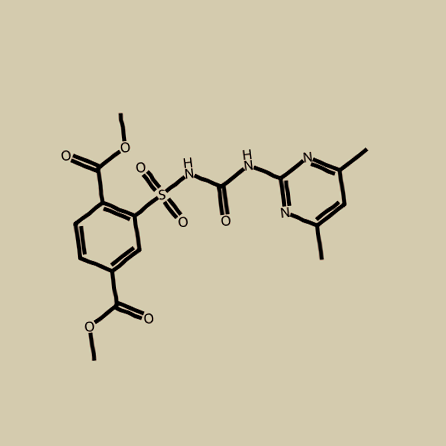 COC(=O)c1ccc(C(=O)OC)c(S(=O)(=O)NC(=O)Nc2nc(C)cc(C)n2)c1